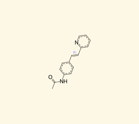 CC(=O)Nc1ccc(/C=C/c2ccccn2)cc1